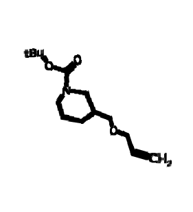 C=CCOCC1CCCN(C(=O)OC(C)(C)C)C1